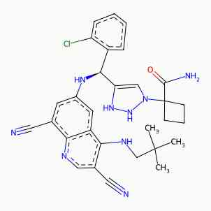 CC(C)(C)CNc1c(C#N)cnc2c(C#N)cc(N[C@H](C3=CN(C4(C(N)=O)CCC4)NN3)c3ccccc3Cl)cc12